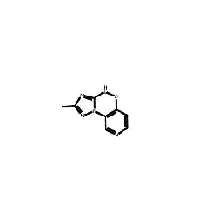 Cc1nc2n(n1)-c1cnccc1OB2